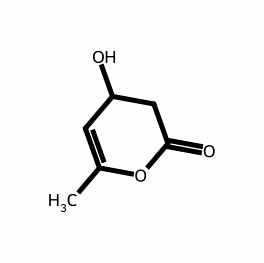 CC1=CC(O)CC(=O)O1